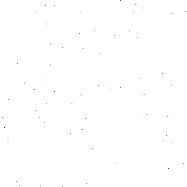 CC1CN(c2cc[c]c([N+](=O)[O-])c2)CC(C)N1